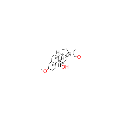 COC1=CC2=CC[C@@H]3[C@H]([C@@H](O)C[C@]4(C)[C@@H](C(C)C=O)CC[C@@H]34)[C@@]2(C)CC1